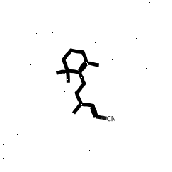 CC1=C(CCC(C)/C=C/C#N)C(C)(C)CCC1